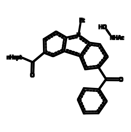 CC(=O)NO.CCCCCCCC(=O)c1ccc2c(c1)c1cc(C(=O)c3ccccc3)ccc1n2CC